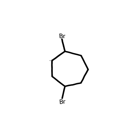 BrC1[CH]CC(Br)CCC1